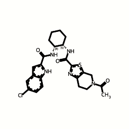 CC(=O)N1CCc2nc(C(=O)N[C@H]3CCCC[C@H]3NC(=O)c3cc4cc(Cl)ccc4[nH]3)sc2C1